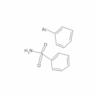 CC(=O)c1ccccc1.NS(=O)(=O)c1ccccc1